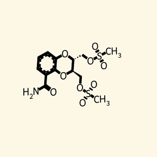 CS(=O)(=O)OC[C@H]1Oc2cccc(C(N)=O)c2O[C@@H]1COS(C)(=O)=O